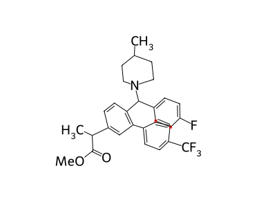 COC(=O)C(C)c1ccc(C(c2ccc(F)cc2)N2CCC(C)CC2)c(-c2ccc(C(F)(F)F)cc2)c1